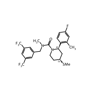 CS[C@H]1CCN(C(=O)N(C)Cc2cc(C(F)(F)F)cc(C(F)(F)F)c2)[C@@H](c2ccc(F)cc2C)C1